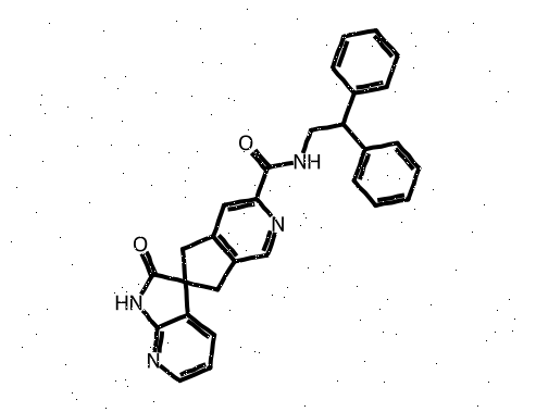 O=C(NCC(c1ccccc1)c1ccccc1)c1cc2c(cn1)CC1(C2)C(=O)Nc2ncccc21